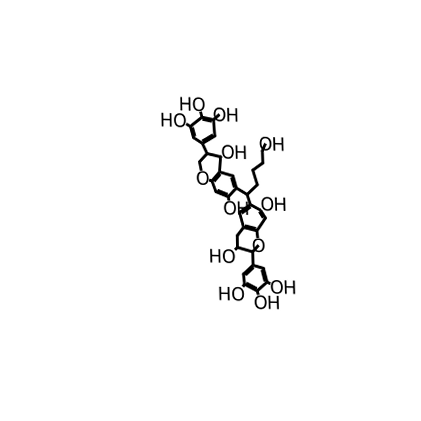 OCCCCC(c1cc2c(cc1O)OC(c1cc(O)c(O)c(O)c1)C(O)C2)c1cc2c(cc1O)OCC(c1cc(O)c(O)c(O)c1)C2O